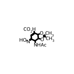 CC(=O)NC1C(=NO)C=C(C(=O)O)C2OC(C)(C)OC12